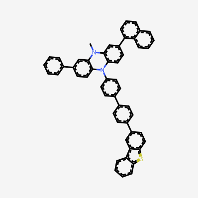 CN1c2cc(-c3ccccc3)ccc2N(c2ccc(-c3ccc(-c4ccc5sc6ccccc6c5c4)cc3)cc2)c2ccc(-c3cccc4ccccc34)cc21